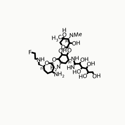 CN[C@@H]1C(O)[C@@H](OC2C(O)C(O[C@@H]3CC(N)CC[C@@H](CNCCF)O3)[C@@H](N)C[C@H]2NC(=N)C(O)C(O)C(O)C(O)CO)OCC1(C)O